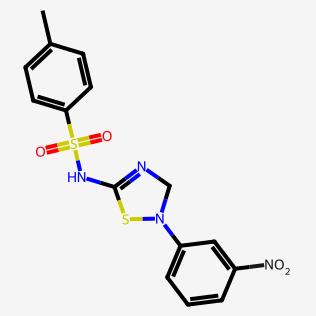 Cc1ccc(S(=O)(=O)NC2=NCN(c3cccc([N+](=O)[O-])c3)S2)cc1